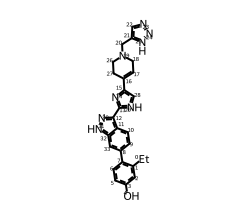 CCc1cc(O)ccc1-c1ccc2c(-c3nc(C4=CCN(Cc5cnn[nH]5)CC4)c[nH]3)n[nH]c2c1